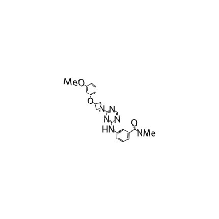 CNC(=O)c1cccc(Nc2ncnc(N3CC(Oc4cccc(OC)c4)C3)n2)c1